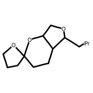 CC(C)CC1OCC2OC3(CCCO3)CCC12